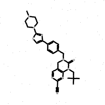 CN1CCN(c2nc(-c3ccc(CN4Cc5cnc(C#N)nc5N(CC(C)(C)C)C4=O)cc3)cs2)CC1